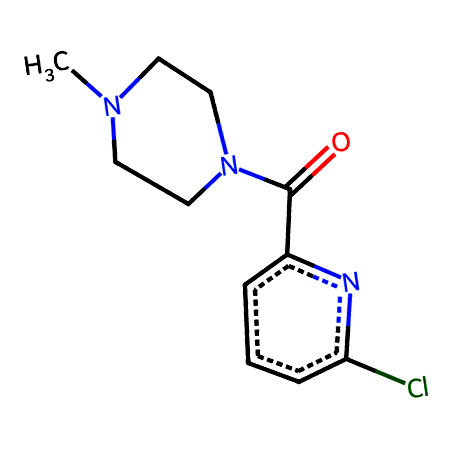 CN1CCN(C(=O)c2cccc(Cl)n2)CC1